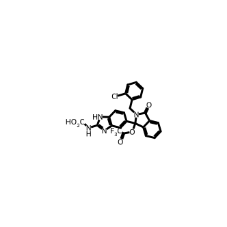 O=C(O)Nc1nc2cc(C3(OC(=O)C(F)(F)F)c4ccccc4C(=O)N3Cc3ccccc3Cl)ccc2[nH]1